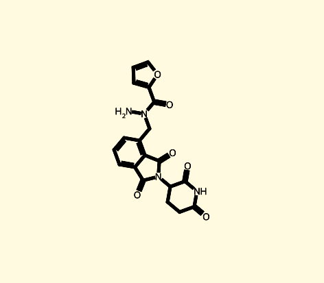 NN(Cc1cccc2c1C(=O)N(C1CCC(=O)NC1=O)C2=O)C(=O)c1ccco1